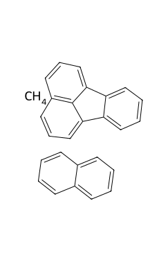 C.c1ccc2c(c1)-c1cccc3cccc-2c13.c1ccc2ccccc2c1